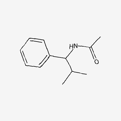 CC(=O)NC(c1ccccc1)C(C)C